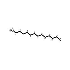 OCCCCCCCCCCC[CH2][K]